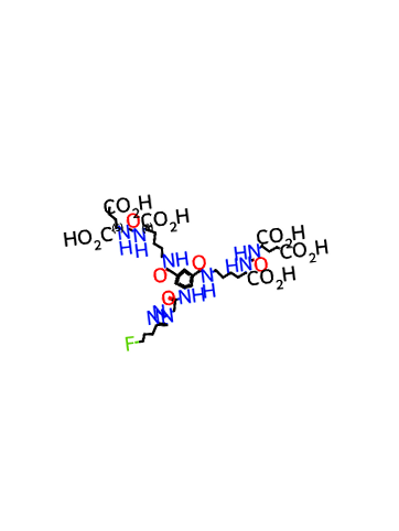 O=C(O)CCC(NC(=O)NC(CCCCNC(=O)c1cc(NC(=O)Cn2cc(CCCF)nn2)cc(C(=O)NCCCC[C@H](NC(=O)N[C@@H](CCC(=O)O)C(=O)O)C(=O)O)c1)C(=O)O)C(=O)O